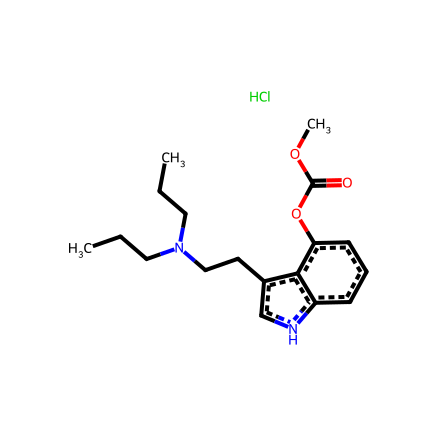 CCCN(CCC)CCc1c[nH]c2cccc(OC(=O)OC)c12.Cl